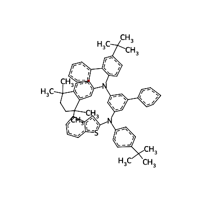 CC(C)(C)c1ccc(N(c2cc(-c3ccccc3)cc(N(c3ccc4c(c3)C(C)(C)CCC4(C)C)c3ccc(C(C)(C)C)cc3-c3ccccc3)c2)c2cc3ccccc3s2)cc1